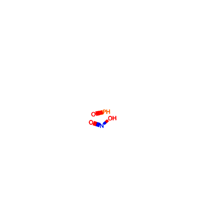 O=NO.O=P